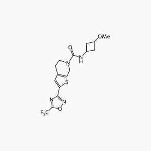 COC1CC(NC(=O)N2CCc3cc(-c4noc(C(F)(F)F)n4)sc3C2)C1